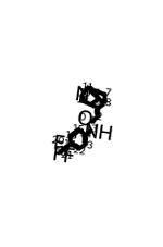 O=C(C=C1C2CC3CC1CN(C3)C2)Nc1ccc(C(F)(F)F)cc1